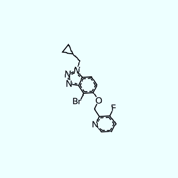 Fc1cccnc1COc1ccc2c(nnn2CC2CC2)c1Br